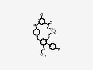 CCOc1cc(CN2CCC(Nc3cc(C(=O)OC)cc(Cl)n3)CC2)cc(OCC)c1-c1ccc(F)cc1